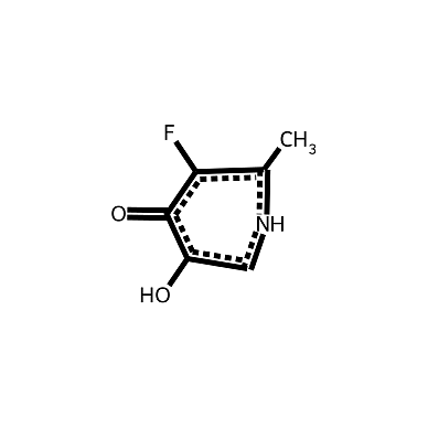 Cc1[nH]cc(O)c(=O)c1F